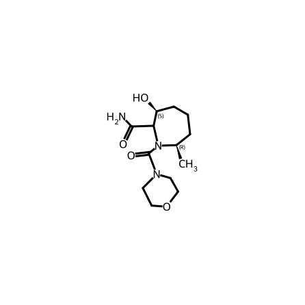 C[C@@H]1CCC[C@H](O)C(C(N)=O)N1C(=O)N1CCOCC1